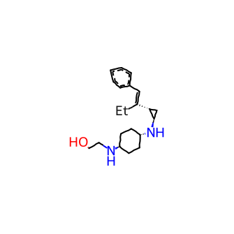 CC/C(=C\c1ccccc1)[C@@H]1C[C@H]1N[C@H]1CC[C@H](NCCO)CC1